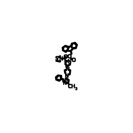 Cc1cc(N2CCN([C@H]3C[C@@H](C(=O)N4CCSC4)N(C(=O)OCC4c5ccccc5-c5ccccc54)C3)CC2)n(-c2ccccc2)n1